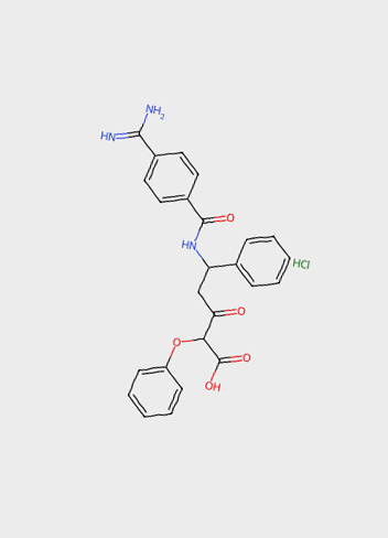 Cl.N=C(N)c1ccc(C(=O)NC(CC(=O)C(Oc2ccccc2)C(=O)O)c2ccccc2)cc1